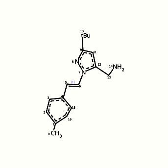 Cc1ccc(/C=C/n2nc(C(C)(C)C)cc2CN)cc1